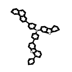 c1ccc(-c2cccc3c2oc2ccc(-c4ccc(N(c5ccc(-c6ccc7c(ccc8ccccc87)c6)cc5)c5ccc6c(c5)oc5ccccc56)cc4)cc23)cc1